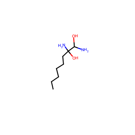 CCCCCCC(N)(O)C(N)O